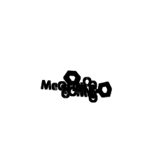 COP(=O)(OC)c1ccccc1NC(=O)NS(=O)(=O)C1CCCCC1